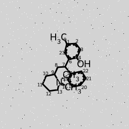 Cc1ccc(O)c(C(CC2CCCC[N+]2(C)C)c2ccccc2)c1